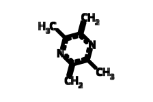 C=c1nc(C)c(=C)nc1C